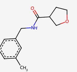 Cc1cccc(CNC(=O)C2CCOC2)c1